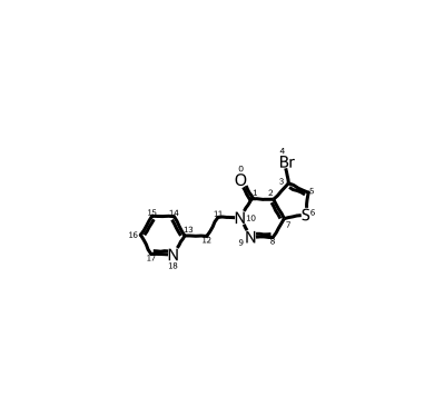 O=c1c2c(Br)csc2cnn1CCc1ccccn1